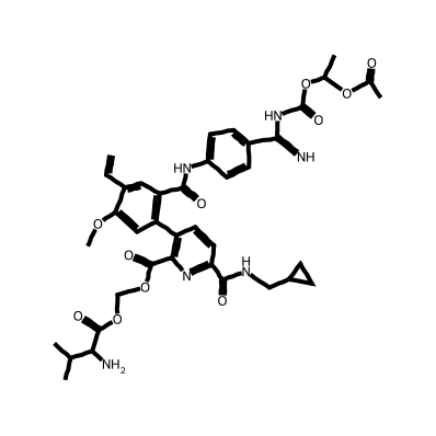 C=Cc1cc(C(=O)Nc2ccc(C(=N)NC(=O)OC(C)OC(C)=O)cc2)c(-c2ccc(C(=O)NCC3CC3)nc2C(=O)OCOC(=O)C(N)C(C)C)cc1OC